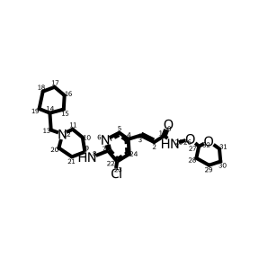 O=C(/C=C/c1cnc(NC2CCN(CC3CCCCC3)CC2)c(Cl)c1)NOC1CCCCO1